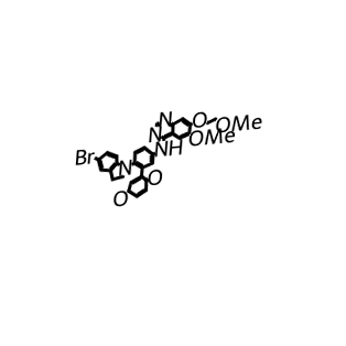 COCCOc1cc2ncnc(Nc3ccc(N4CCc5cc(Br)ccc54)c(C4=CC(=O)C=CC4=O)c3)c2cc1OC